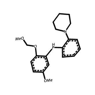 COCOc1ccc(OC)cc1Pc1ccccc1N1CCCCC1